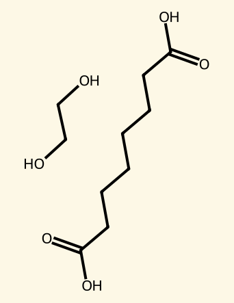 O=C(O)CCCCCCC(=O)O.OCCO